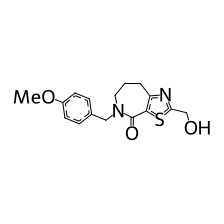 COc1ccc(CN2CCCc3nc(CO)sc3C2=O)cc1